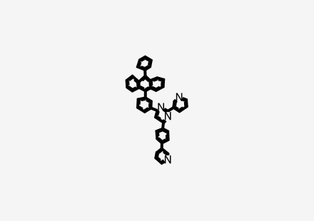 c1ccc(-c2c3ccccc3c(-c3cccc(-c4cc(-c5ccc(-c6cccnc6)cc5)nc(-c5cccnc5)n4)c3)c3ccccc23)cc1